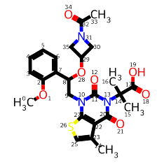 COc1ccccc1C(Cn1c(=O)n(C(C)(C)C(=O)O)c(=O)c2c(C)csc21)OC1CN(C(C)=O)C1